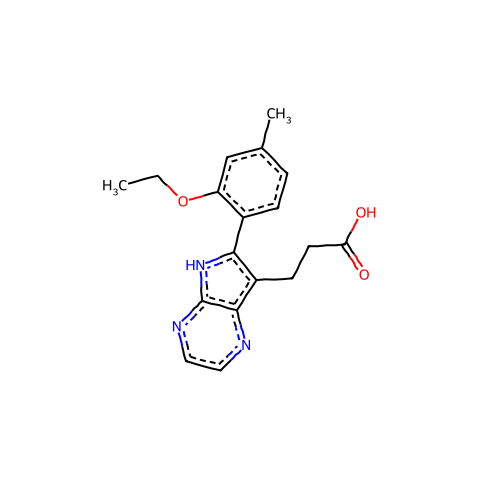 CCOc1cc(C)ccc1-c1[nH]c2nccnc2c1CCC(=O)O